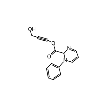 O=C(OC#CCO)C1N=CC=CN1c1ccccc1